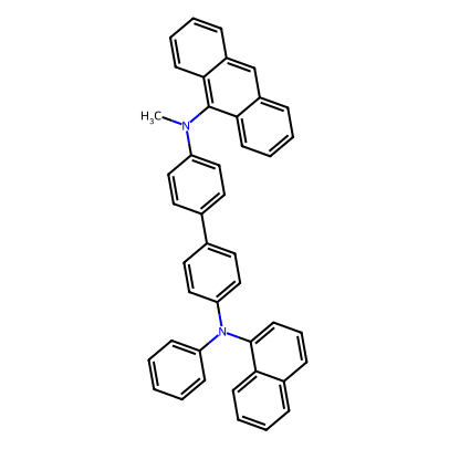 CN(c1ccc(-c2ccc(N(c3ccccc3)c3cccc4ccccc34)cc2)cc1)c1c2ccccc2cc2ccccc12